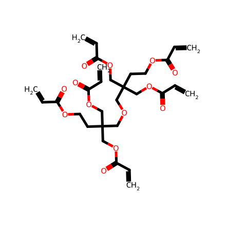 C=CC(=O)OCCC(COCC(CCOC(=O)C=C)(COC(=O)C=C)COC(=O)C=C)(COC(=O)C=C)COC(=O)C=C